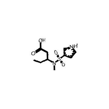 CCC(CC(=O)O)N(C)S(=O)(=O)c1cc[nH]c1